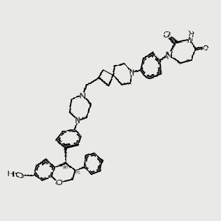 O=C1CCN(c2ccc(N3CCC4(CC3)CC(CN3CCN(c5ccc([C@@H]6c7ccc(O)cc7OC[C@@H]6c6ccccc6)cc5)CC3)C4)cc2)C(=O)N1